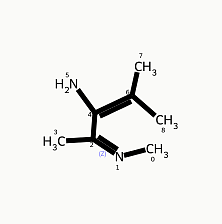 C/N=C(/C)C(N)=C(C)C